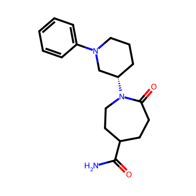 NC(=O)C1CCC(=O)N([C@H]2CCCN(c3ccccc3)C2)CC1